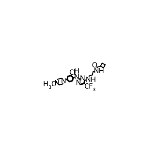 CN1CCN(c2ccc(Nc3ncc(C(F)(F)F)c(NCCCNC(=O)C4CCC4)n3)c(Cl)c2)CC1